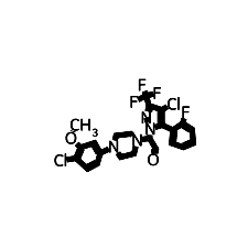 COc1cc(N2CCN(C(C=O)n3nc(C(F)(F)F)c(Cl)c3-c3ccccc3F)CC2)ccc1Cl